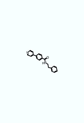 O=C(NCCc1ccccc1)c1ccc(-c2ccncc2)cc1